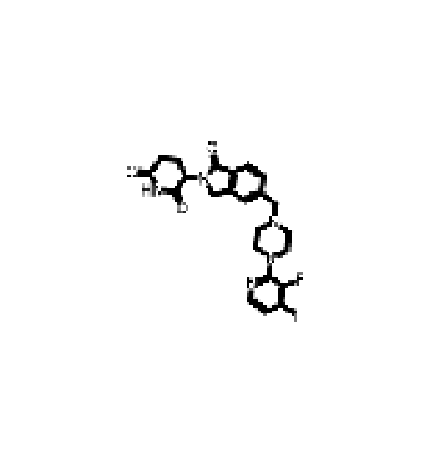 O=C1CCC(N2Cc3cc(CN4CCN(c5nccc(I)c5F)CC4)ccc3C2=O)C(=O)N1